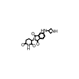 O=C1CCC(N2C(=O)c3ccc(NC4CNC4)cc3C2=O)C(=O)N1